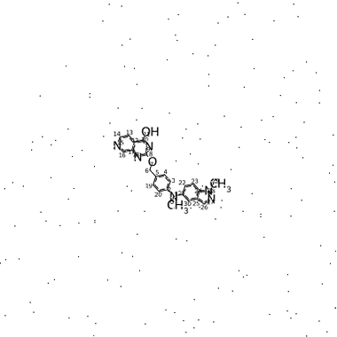 CN(c1ccc(COc2nc(O)c3ccncc3n2)cc1)c1ccc2c(cnn2C)c1